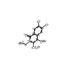 CCOC(=O)c1c(OCC(C)C)c2cc(Cl)c(Cl)cc2c(=O)n1CC(C)(C)C